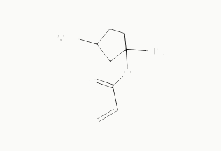 C=CC(=O)OC1(CCCC)CCC(OC)C1